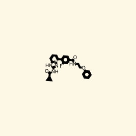 O=C(NCCOc1ccccc1)c1ccc(C2=CC=CC3NC(NC(=O)C4CC4)=NN23)c(F)c1